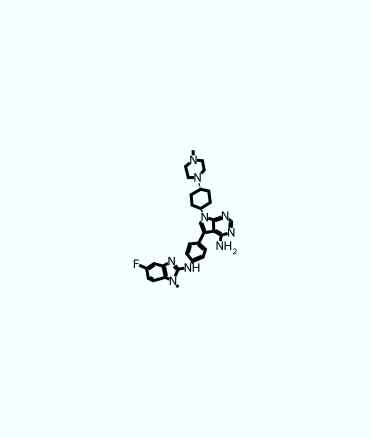 CN1CCN([C@H]2CC[C@@H](n3cc(-c4ccc(Nc5nc6cc(F)ccc6n5C)cc4)c4c(N)ncnc43)CC2)CC1